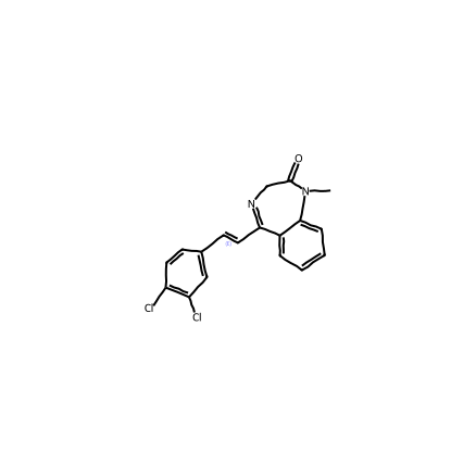 CN1C(=O)CN=C(/C=C/c2ccc(Cl)c(Cl)c2)c2ccccc21